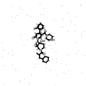 CC(CC1CCCCC1)C(=O)N1CC[C@@](O)(Cn2cc(C(=O)N3CCNCC3)c(-c3ccccc3F)cc2=O)C(C)(C)C1